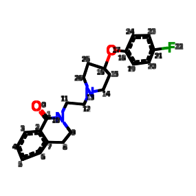 O=C1c2ccccc2CCN1CCN1CCC(Oc2ccc(F)cc2)CC1